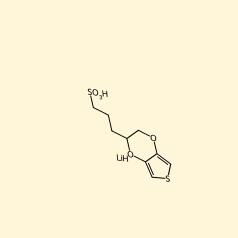 O=S(=O)(O)CCCC1COc2cscc2O1.[LiH]